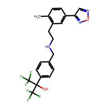 Cc1ccc(-c2cnon2)cc1CCNCc1ccc(C(O)(C(F)(F)F)C(F)(F)F)cc1